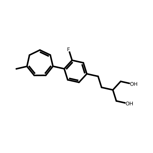 CC1=CC=C(c2ccc(CCC(CO)CO)cc2F)C=CC1